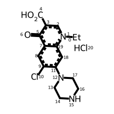 CCn1cc(C(=O)O)c(=O)c2cc(Cl)c(N3CCNCC3)cc21.Cl